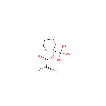 C=C(C)C(=O)OC1(C(O)(O)O)CCCCC1